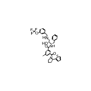 Cc1cc(C(=O)N[C@H](Cc2ccccc2)[C@H](O)CNCc2cccc(OC(F)(F)F)c2)cc(C(=O)N2CCCC2c2cccs2)c1